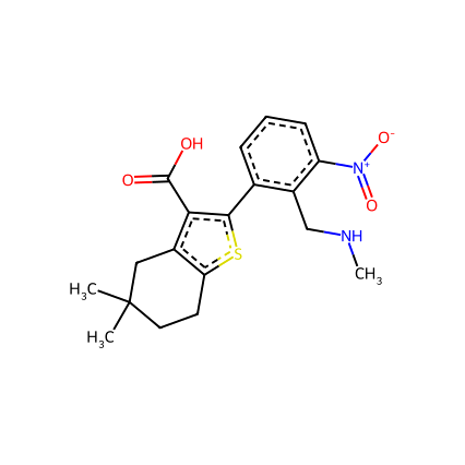 CNCc1c(-c2sc3c(c2C(=O)O)CC(C)(C)CC3)cccc1[N+](=O)[O-]